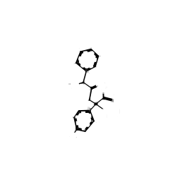 C=C(C(=O)O)C(CC(=O)C(C)c1ccccc1)(C(=O)O)c1ccc(C)cc1